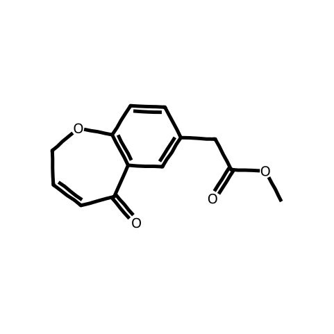 COC(=O)Cc1ccc2c(c1)C(=O)C=CCO2